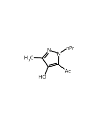 CCCn1nc(C)c(O)c1C(C)=O